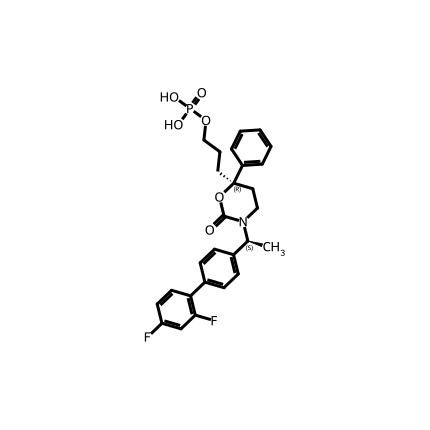 C[C@@H](c1ccc(-c2ccc(F)cc2F)cc1)N1CC[C@](CCCOP(=O)(O)O)(c2ccccc2)OC1=O